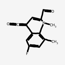 Cc1cc(F)cc2c1N(C)C(C=O)=CC2=C=O